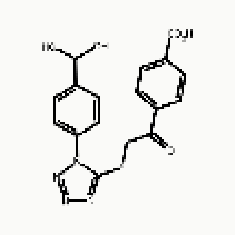 O=C(O)c1ccc(C(=O)CSc2nnnn2-c2ccc(C(O)O)cc2)cc1